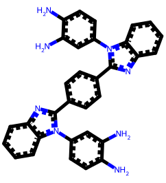 Nc1ccc(-n2c(-c3ccc(-c4nc5ccccc5n4-c4ccc(N)c(N)c4)cc3)nc3ccccc32)cc1N